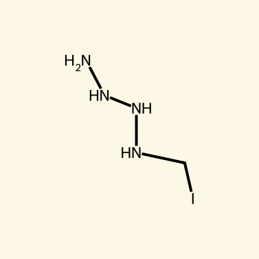 NNNNCI